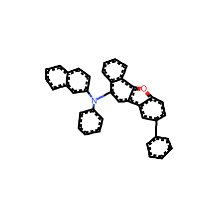 c1ccc(-c2ccc3oc4c5ccccc5c(N(c5ccccc5)c5ccc6ccccc6c5)cc4c3c2)cc1